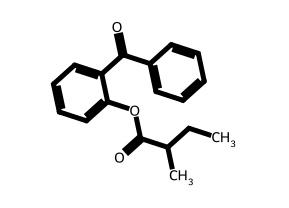 CCC(C)C(=O)Oc1ccccc1C(=O)c1ccccc1